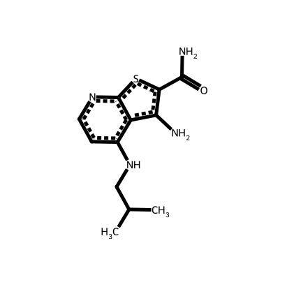 CC(C)CNc1ccnc2sc(C(N)=O)c(N)c12